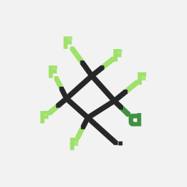 [CH2]C1(F)C(F)(F)C(F)(F)C1(F)Cl